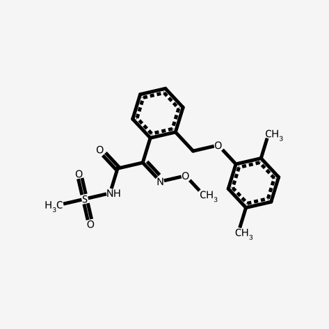 CO/N=C(/C(=O)NS(C)(=O)=O)c1ccccc1COc1cc(C)ccc1C